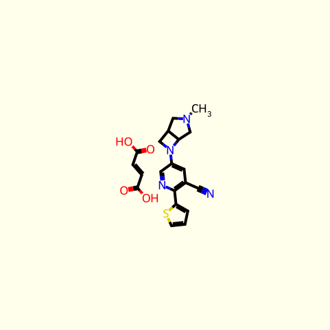 CN1CC2CN(c3cnc(-c4cccs4)c(C#N)c3)C2C1.O=C(O)C=CC(=O)O